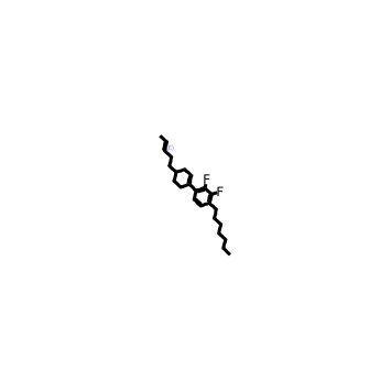 C/C=C/CCC1CC=C(c2ccc(CCCCCCC)c(F)c2F)CC1